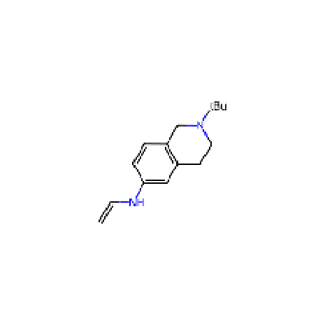 C=CNc1ccc2c(c1)CCN(C(C)(C)C)C2